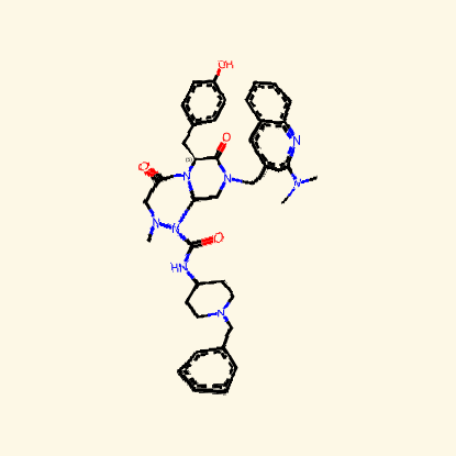 CN(C)c1nc2ccccc2cc1CN1CC2N(C(=O)CN(C)N2C(=O)NC2CCN(Cc3ccccc3)CC2)[C@@H](Cc2ccc(O)cc2)C1=O